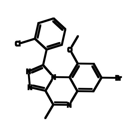 COc1cc(Br)cc2nc(C)c3nnc(-c4ccccc4Cl)n3c12